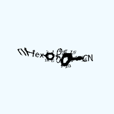 CCCCCC[C@H]1CC[C@H](C(=O)Oc2ccc(C#CC#N)cc2)CC1